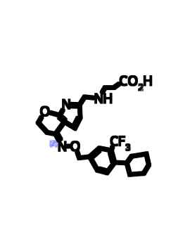 O=C(O)CCNCc1ccc2c(n1)OCC/C2=N/OCc1ccc(C2CCCCC2)c(C(F)(F)F)c1